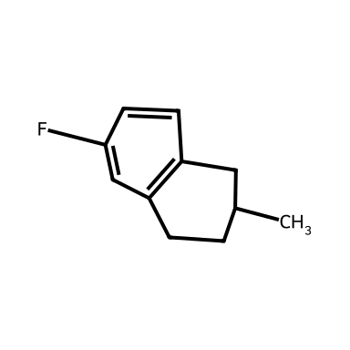 CC1CCc2cc(F)ccc2C1